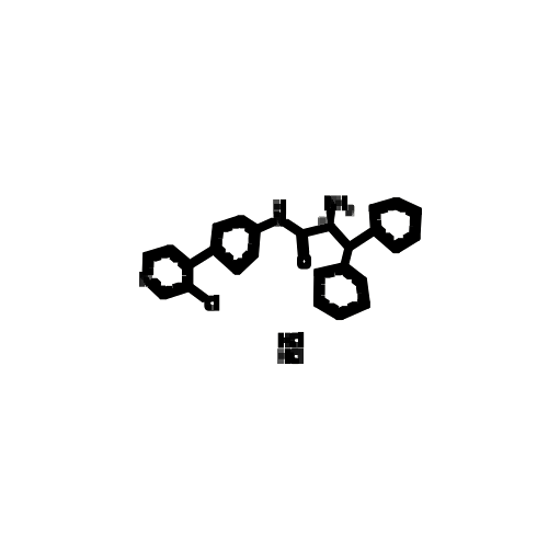 Cl.Cl.N[C@H](C(=O)Nc1ccc(-c2ccncc2Cl)cc1)C(c1ccccc1)c1ccccc1